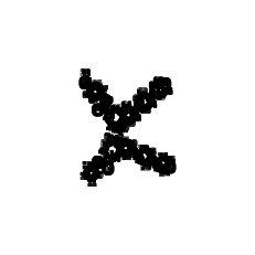 CC1(C)CCN(C(=O)OC2CCCC2)Cc2cc(N3CCC(N4CCOCC4)CC3)ccc21.COc1ccc(OC(=O)N2CCC(C)(C)c3ccc(N4CCC(N5CCOCC5)CC4)cc3C2)cc1